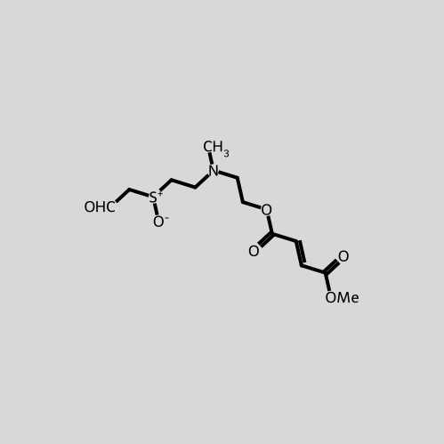 COC(=O)/C=C/C(=O)OCCN(C)CC[S+]([O-])CC=O